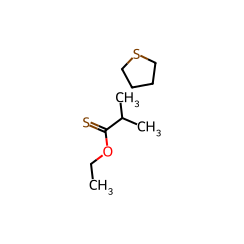 C1CCSC1.CCOC(=S)C(C)C